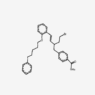 COC(=O)c1ccc(CC(C=Cc2ccccc2OCCCCCc2ccccc2)CCBr)cc1